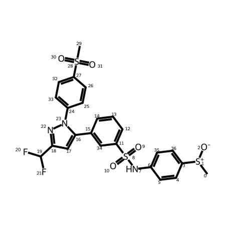 C[S+]([O-])c1ccc(NS(=O)(=O)c2cccc(-c3cc(C(F)F)nn3-c3ccc(S(C)(=O)=O)cc3)c2)cc1